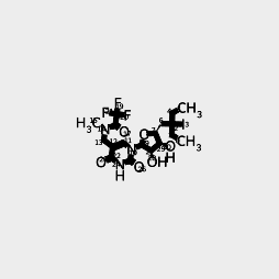 CCC(I)(CC)C[C@H]1OC(n2cc(CN(C)C(=O)C(F)(F)F)c(=O)[nH]c2=O)[C@H](O)[C@@H]1O